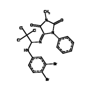 CN1C(=O)C(=NC(Nc2ccc(Br)c(Br)c2)C(Cl)(Cl)Cl)N(c2ccccc2)C1=O